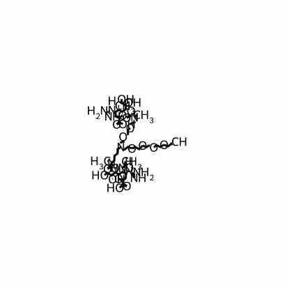 C#CCOCCOCCOCCOCCN(CCCCN(C)C(=O)O[C@@H]([C@@H]1OC(C(=O)O)=C[C@H](NC(=N)N)[C@H]1NC(C)=O)[C@H](O)CO)CCOCCOCCN(C)C(=O)O[C@@H]([C@@H]1OC(C(=O)O)=C[C@H](NC(=N)N)[C@H]1C)[C@H](O)CO